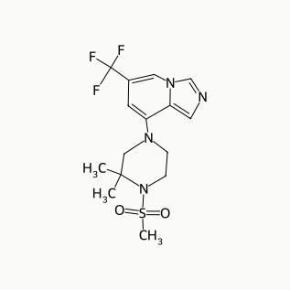 CC1(C)CN(c2cc(C(F)(F)F)cn3cncc23)CCN1S(C)(=O)=O